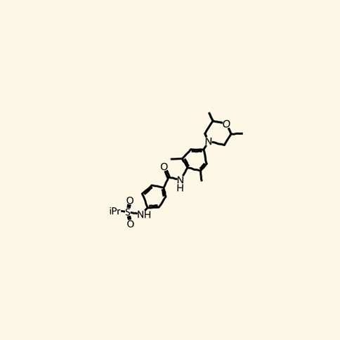 Cc1cc(N2CC(C)OC(C)C2)cc(C)c1NC(=O)c1ccc(NS(=O)(=O)C(C)C)cc1